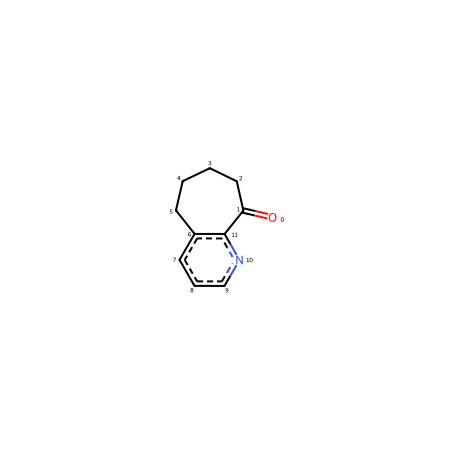 O=C1CCCCc2cccnc21